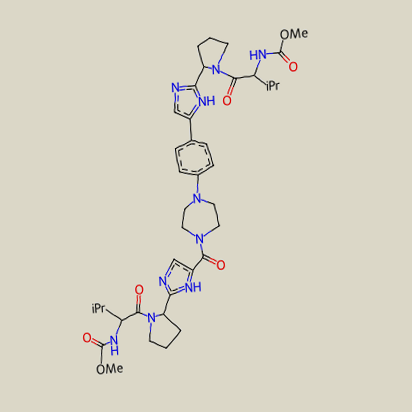 COC(=O)NC(C(=O)N1CCCC1c1ncc(C(=O)N2CCN(c3ccc(-c4cnc(C5CCCN5C(=O)C(NC(=O)OC)C(C)C)[nH]4)cc3)CC2)[nH]1)C(C)C